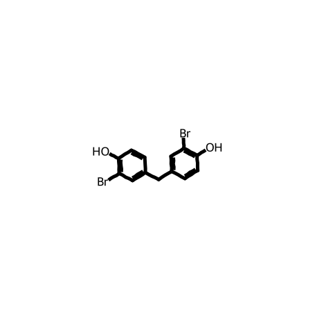 Oc1ccc(Cc2ccc(O)c(Br)c2)cc1Br